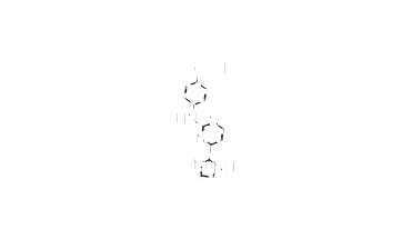 Cc1c[nH]c(-c2ccnc(Nc3ccc(C(=O)O)cc3)n2)n1